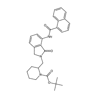 CC(C)(C)OC(=O)N1CCCCC1CN1Cc2cccc(NC(=O)c3cccc4ccccc34)c2C1=O